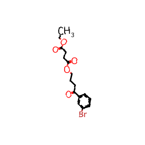 CCOC(=O)CCC(=O)OCCCC(=O)c1cccc(Br)c1